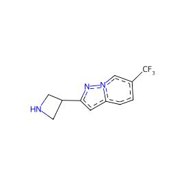 FC(F)(F)c1ccc2cc(C3CNC3)nn2c1